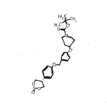 CC(C)(C)OC(=O)N1CCC(Oc2ccc(COc3ccc([C@H]4CO[S@@](=O)OC4)cc3)cc2)CC1